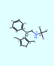 CC1=CCC(C)=C1[SiH](CNC(C)(C)C)c1ccccc1